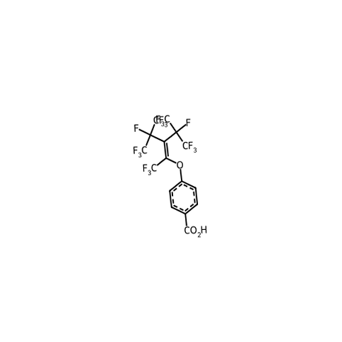 O=C(O)c1ccc(OC(=C(C(F)(C(F)(F)F)C(F)(F)F)C(F)(C(F)(F)F)C(F)(F)F)C(F)(F)F)cc1